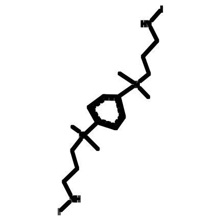 C[Si](C)(CCCNI)c1ccc([Si](C)(C)CCCNI)cc1